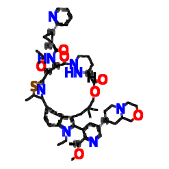 CCO[C@@H]1C2=NC(c3ccc4c(c3)c(c(-c3cc([C@@H]5CCN6CCOCC6C5)cnc3[C@H](C)OC)n4CC)CC(C)(C)COC(=O)[C@@H]3CCCN(N3)C(=O)[C@H]1NC(=O)[C@H]1C[C@@H]1c1ccccn1)C(C)S2